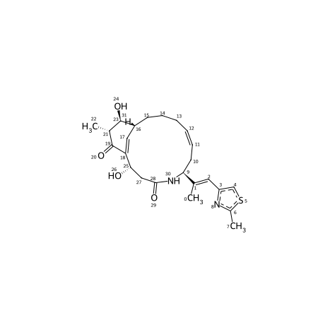 C/C(=C\c1csc(C)n1)[C@@H]1C/C=C\CCC[C@@H]2C=C(C(=O)[C@H](C)[C@H]2O)[C@@H](O)CC(=O)N1